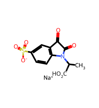 CC(C(=O)O)N1C(=O)C(=O)c2cc(S(=O)(=O)[O-])ccc21.[Na+]